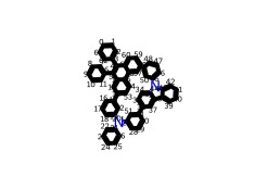 c1ccc(-c2c(-c3ccccc3)c3cc(-c4cccc(N(c5ccccc5)c5cccc(-c6ccc7c(c6)c6ccccc6n7-c6ccccc6)c5)c4)ccc3c3ccccc23)cc1